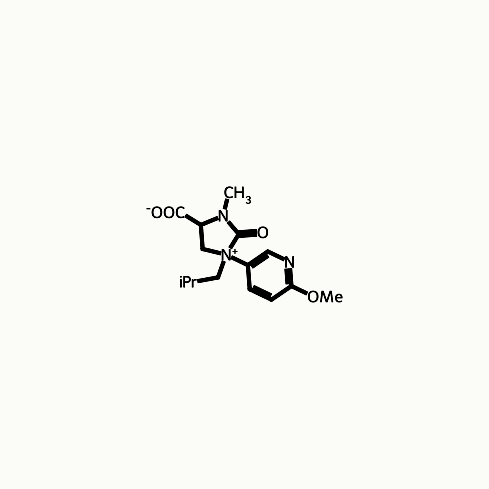 COc1ccc([N+]2(CC(C)C)CC(C(=O)[O-])N(C)C2=O)cn1